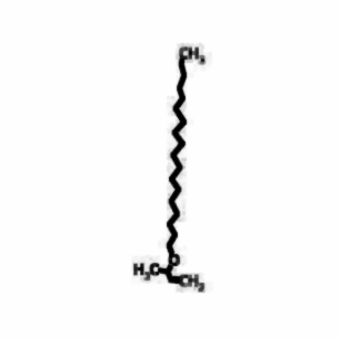 C=CC(C)OCCCCCCCCCCCCCCCCCC